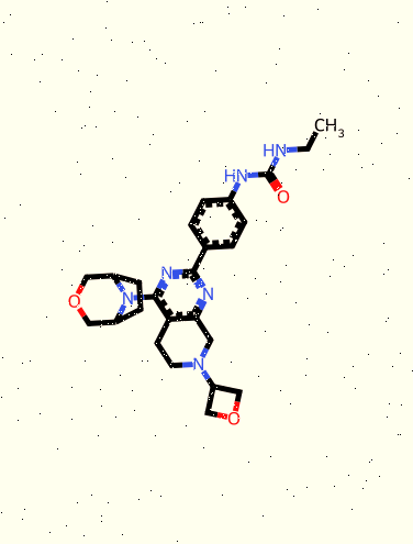 CCNC(=O)Nc1ccc(-c2nc3c(c(N4C5CCC4COC5)n2)CCN(C2COC2)C3)cc1